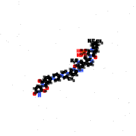 C[C@H]1CN(C2CCN(c3ccc4c(c3)C(=O)N(C3CCC(=O)NC3=O)C4=O)CC2)CCN1c1ccc(Nc2cc(-c3ccnc(N4CCn5c(cc6c5CC(C)(C)C6)C4=O)c3COP(=O)(O)O)cn(C)c2=O)nc1